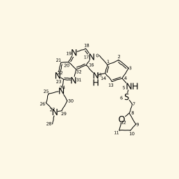 Cc1ccc(NSCC2CCCO2)cc1Nc1ncnc2cnc(N3CCN(C)CC3)nc12